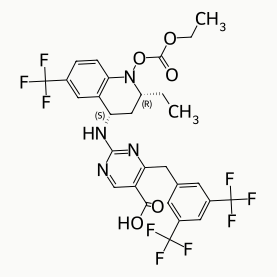 CCOC(=O)ON1c2ccc(C(F)(F)F)cc2[C@@H](Nc2ncc(C(=O)O)c(Cc3cc(C(F)(F)F)cc(C(F)(F)F)c3)n2)C[C@H]1CC